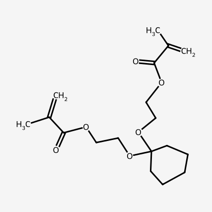 C=C(C)C(=O)OCCOC1(OCCOC(=O)C(=C)C)CCCCC1